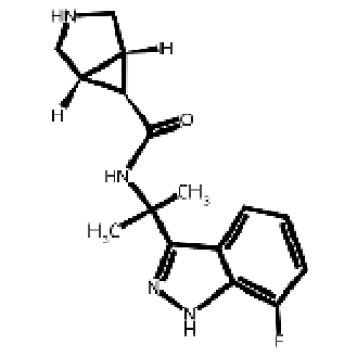 CC(C)(NC(=O)[C@H]1[C@@H]2CNC[C@@H]21)c1n[nH]c2c(F)cccc12